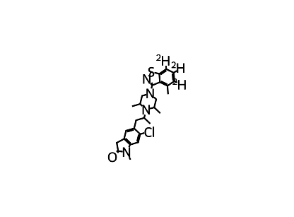 [2H]c1c([2H])c(C)c2c(N3CC(C)N(C(C)Cc4cc5c(cc4Cl)N(C)C(=O)C5)C(C)C3)nsc2c1[2H]